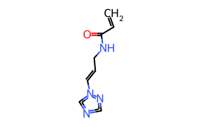 C=CC(=O)NCC=Cn1cncn1